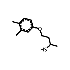 Cc1ccc(OCCC(C)S)cc1C